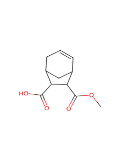 COC(=O)C1C2C=CCC(C2)C1C(=O)O